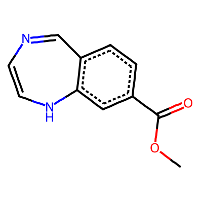 COC(=O)c1ccc2c(c1)NC=CN=C2